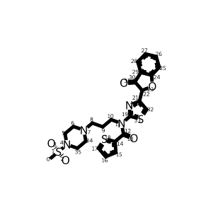 CS(=O)(=O)N1CCN(CCCN(C(=O)c2cccs2)c2nc(C3Oc4ccccc4C3=O)cs2)CC1